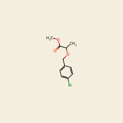 COC(=O)C(C)OCc1ccc(Br)cc1